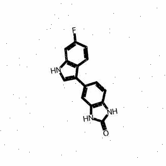 O=c1[nH]c2ccc(-c3c[nH]c4cc(F)ccc34)cc2[nH]1